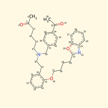 CC(=O)CCCCN(CCc1ccccc1OCCCCc1nc2ccccc2o1)Cc1ccc(C(C)=O)cc1